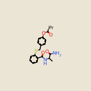 CC(C)C(=O)Oc1ccc(CSc2ccccc2C(=O)NC(C)C(N)=O)cc1